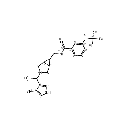 CC(c1n[nH]cc1Cl)N1CC2C(CNC(=O)c3cccc(OC(F)(F)F)c3)C2C1